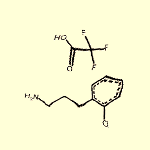 NCCCc1ccccc1Cl.O=C(O)C(F)(F)F